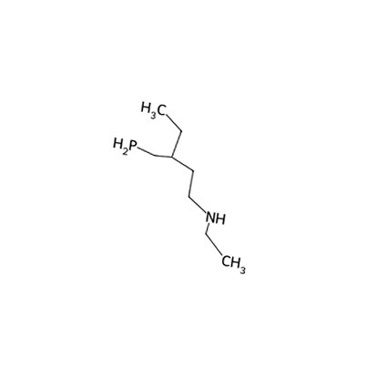 CCNCCC(CC)CP